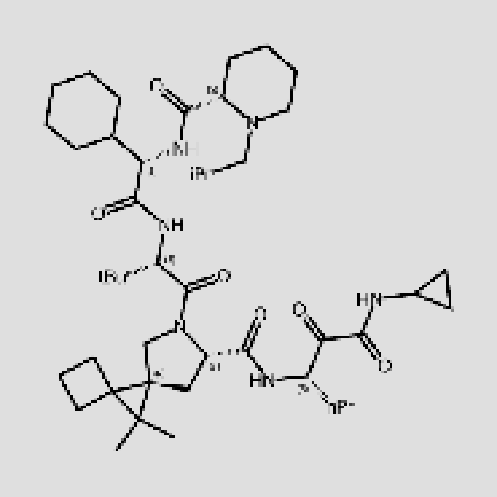 CCC[C@H](NC(=O)[C@@H]1C[C@@]2(CN1C(=O)[C@@H](NC(=O)[C@@H](NC(=O)[C@@H]1CCCCN1CC(C)C)C1CCCCC1)C(C)(C)C)C(C)(C)C21CCC1)C(=O)C(=O)NC1CC1